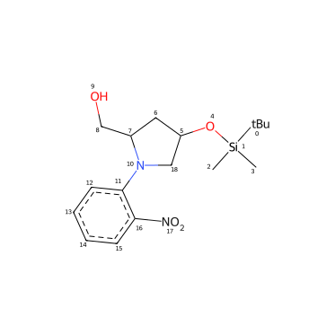 CC(C)(C)[Si](C)(C)OC1CC(CO)N(c2ccccc2[N+](=O)[O-])C1